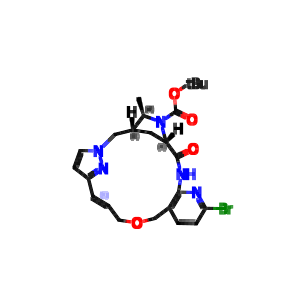 C[C@@H]1[C@@H]2C[C@@H](C(=O)Nc3nc(Br)ccc3COC/C=C/c3ccn(n3)C2)N1C(=O)OC(C)(C)C